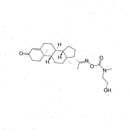 C/C(=N\OC(=O)N(C)CCO)[C@H]1CC[C@H]2[C@@H]3CCC4=CC(=O)CC[C@]4(C)[C@H]3CC[C@]12C